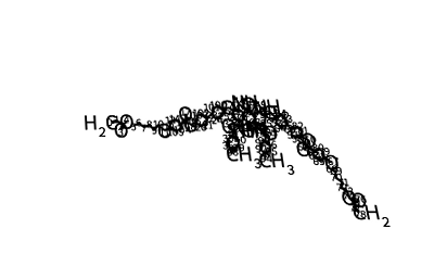 C=CC(=O)OCCCCCCOc1ccc(C(=O)Oc2ccc(-c3ccc(Oc4cc(N[S+]([O-])c5ccc(C)cc5)c5c(c4N)C(=O)c4c(N)c(Oc6ccc(-c7ccc(OC(=O)c8ccc(OCCCCCCOC(=O)C=C)cc8)cc7)cc6)cc(N[S+]([O-])c6ccc(C)cc6)c4C5=O)cc3)cc2)cc1